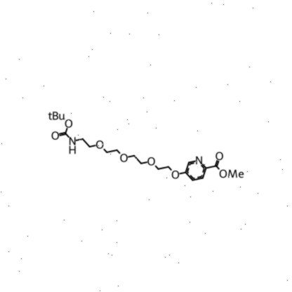 COC(=O)c1ccc(OCCOCCOCCOCCNC(=O)OC(C)(C)C)cn1